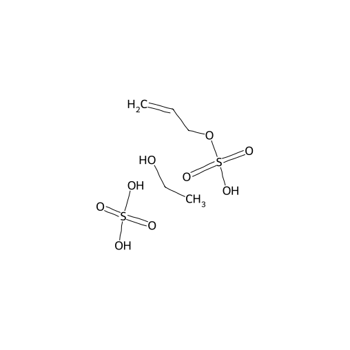 C=CCOS(=O)(=O)O.CCO.O=S(=O)(O)O